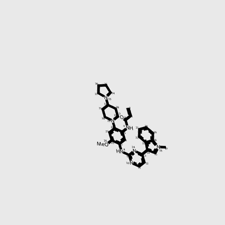 C=CC(=O)Nc1cc(Nc2nccc(-c3cn(C)c4ccccc34)n2)c(OC)cc1N1CCC(N2CCCC2)CC1